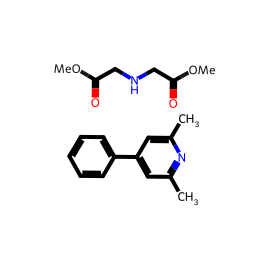 COC(=O)CNCC(=O)OC.Cc1cc(-c2ccccc2)cc(C)n1